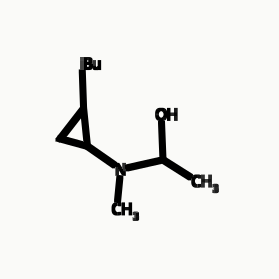 CCC(C)C1CC1N(C)C(C)O